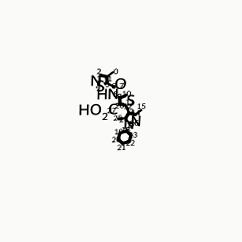 Cc1cnsc1C(=O)Nc1csc(-c2c(C)nn(-c3ccccc3)c2C)c1C(=O)O